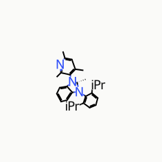 Cc1cc(C)c(N2c3ccccc3N(c3c(C(C)C)cccc3C(C)C)[C@H]2C)c(C)n1